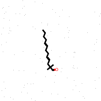 CCCCC=CCCC=CCC(C)(C)[C]=O